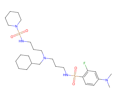 CN(C)c1ccc(S(=O)(=O)NCCCN(CCCNS(=O)(=O)N2CCCCC2)CC2CCCCC2)c(F)c1